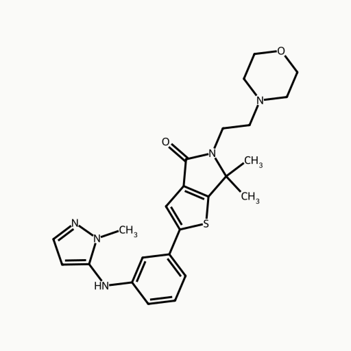 Cn1nccc1Nc1cccc(-c2cc3c(s2)C(C)(C)N(CCN2CCOCC2)C3=O)c1